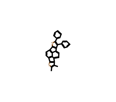 Cc1sc2c(c1C)-c1ccc3c4c(ccc-2c14)-c1sc(-c2ccccc2)c(-c2ccccc2)c1-3